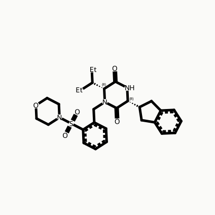 CCC(CC)[C@@H]1C(=O)N[C@H](C2Cc3ccccc3C2)C(=O)N1Cc1ccccc1S(=O)(=O)N1CCOCC1